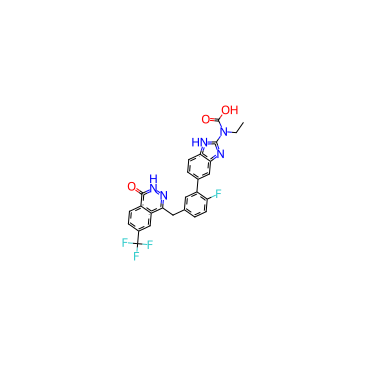 CCN(C(=O)O)c1nc2cc(-c3cc(Cc4n[nH]c(=O)c5ccc(C(F)(F)F)cc45)ccc3F)ccc2[nH]1